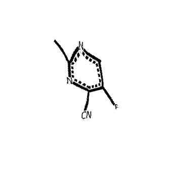 Cc1ncc(F)c(C#N)n1